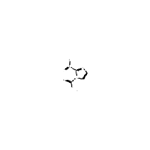 NC(=O)n1ccnc1[N+](=O)[O-]